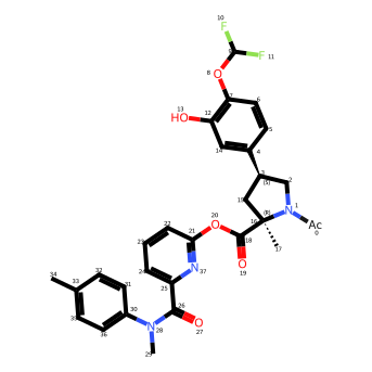 CC(=O)N1C[C@H](c2ccc(OC(F)F)c(O)c2)C[C@]1(C)C(=O)Oc1cccc(C(=O)N(C)c2ccc(C)cc2)n1